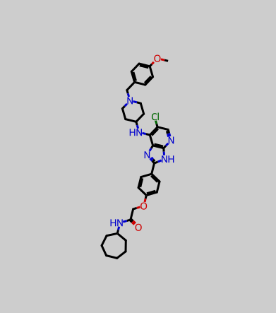 COc1ccc(CN2CCC(Nc3c(Cl)cnc4[nH]c(-c5ccc(OCC(=O)NC6CCCCCC6)cc5)nc34)CC2)cc1